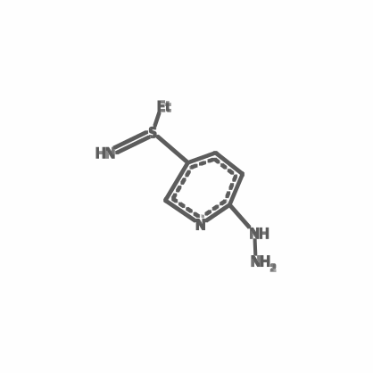 CCS(=N)c1ccc(NN)nc1